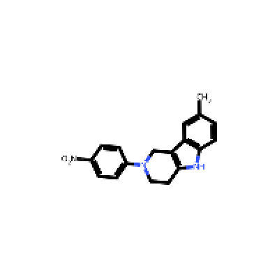 Cc1ccc2[nH]c3c(c2c1)CN(c1ccc([N+](=O)[O-])cc1)CC3